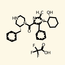 Cc1nc(C(=O)N2CCNC[C@H]2Cc2ccccc2)c(-c2ccccc2)n1[C@@H]1CCCC[C@H]1O.O=C(O)C(F)(F)F